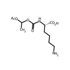 CC(=O)OC(C)OC(=O)N[C@@H](CCCCN)C(=O)O